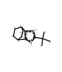 CC(C)(C)c1nc2c(s1)C1CCC2CC1